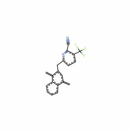 C=c1cc(Cc2ccc(C(F)(F)F)c(C#N)n2)c(=C)c2ccccc12